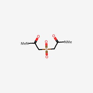 CNC(=O)CS(=O)(=O)CC(=O)NC